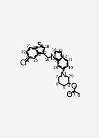 CC(=O)OC1CCCN(c2ccc3ccn(Cc4csc5ccc(Cl)cc45)c3c2)C1